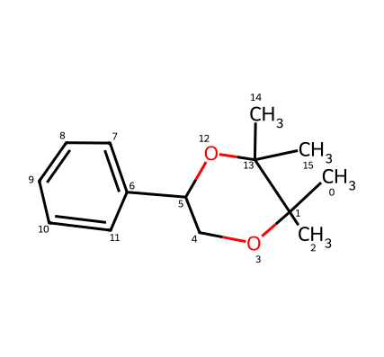 CC1(C)OCC(c2ccccc2)OC1(C)C